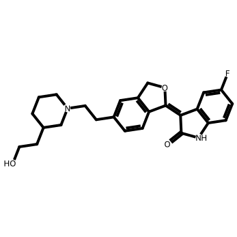 O=C1Nc2ccc(F)cc2C1=C1OCc2cc(CCN3CCCC(CCO)C3)ccc21